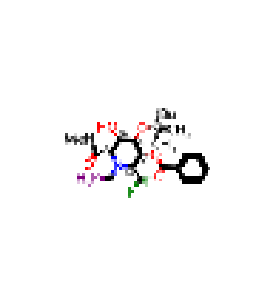 CNC(=O)[C@@H]1[C@@H](O)[C@@H](O[Si](C)(C)C(C)(C)C)[C@H](OC(=O)c2ccccc2)[C@@H](C(F)F)N1CP